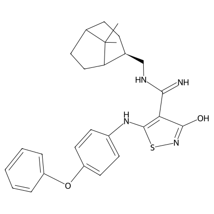 CC1(C)C2CCC1[C@H](CNC(=N)c1c(O)nsc1Nc1ccc(Oc3ccccc3)cc1)CC2